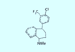 CNC1CCC(c2ccc(Cl)c(C(F)(F)F)c2)c2ccccc21